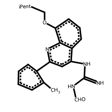 CCCC(C)COc1cccc2c(NC(=N)NC=O)cc(-c3ccccc3C)nc12